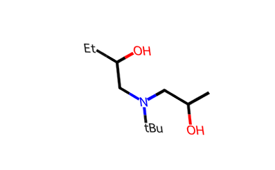 CCC(O)CN(CC(C)O)C(C)(C)C